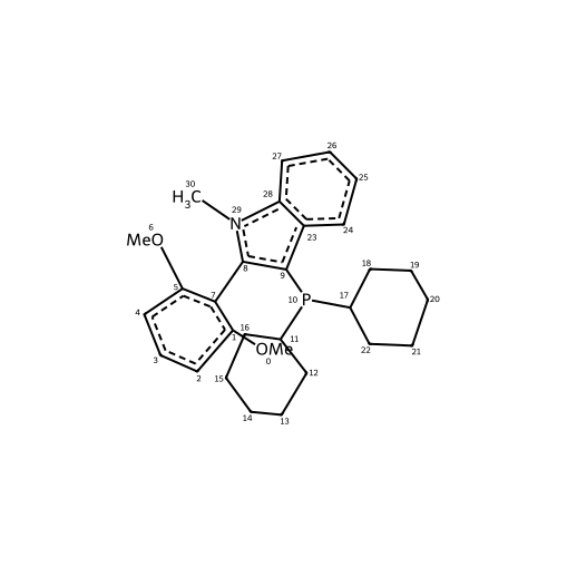 COc1cccc(OC)c1-c1c(P(C2CCCCC2)C2CCCCC2)c2ccccc2n1C